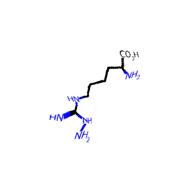 N=C(NN)NCCCCC(N)C(=O)O